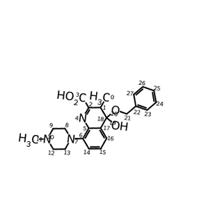 CC1C(C(=O)O)=Nc2c(N3CCN(C)CC3)cccc2C1(O)OCc1ccccc1